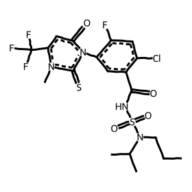 CCCN(C(C)C)S(=O)(=O)NC(=O)c1cc(-n2c(=O)cc(C(F)(F)F)n(C)c2=S)c(F)cc1Cl